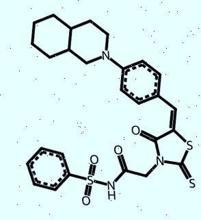 O=C(CN1C(=O)C(=Cc2ccc(N3CCC4CCCCC4C3)cc2)SC1=S)NS(=O)(=O)c1ccccc1